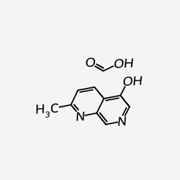 Cc1ccc2c(O)cncc2n1.O=CO